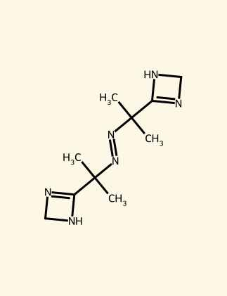 CC(C)(N=NC(C)(C)C1=NCN1)C1=NCN1